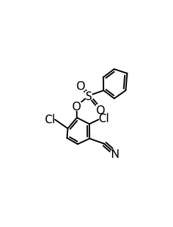 N#Cc1ccc(Cl)c(OS(=O)(=O)c2ccccc2)c1Cl